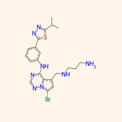 CC(C)c1nnc(-c2cccc(Nc3ncnn4c(Br)cc(CNCCCN)c34)c2)s1